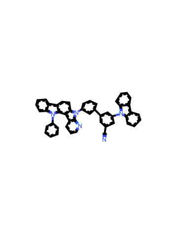 N#Cc1cc(-c2cccc(-n3c4ccc5c6ccccc6n(-c6ccccc6)c5c4c4cccnc43)c2)cc(-n2c3ccccc3c3ccccc32)c1